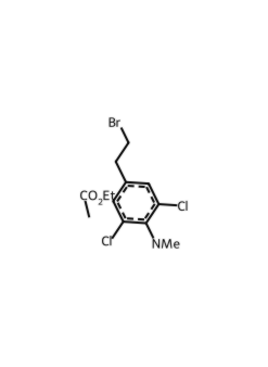 CCOC(C)=O.CNc1c(Cl)cc(CCBr)cc1Cl